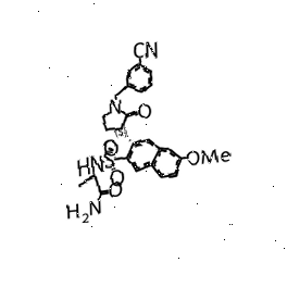 COc1ccc2cc(S(=O)(=O)NC(C)C(N)=O)c([C@@H]3CCN(Cc4cccc(C#N)c4)C3=O)cc2c1